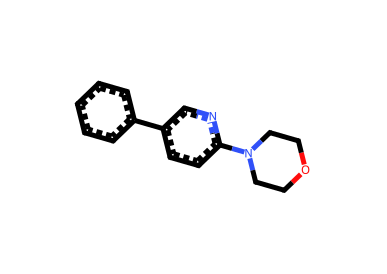 c1ccc(-c2ccc(N3CCOCC3)nc2)cc1